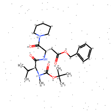 CC(C)[C@@H](C(=O)N[C@@H](CC(=O)OCc1ccccc1)C(=O)N1CCCCC1)N(C)C(=O)OC(C)(C)C